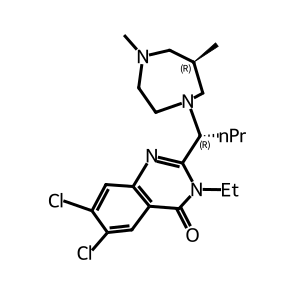 CCC[C@H](c1nc2cc(Cl)c(Cl)cc2c(=O)n1CC)N1CCN(C)C[C@@H](C)C1